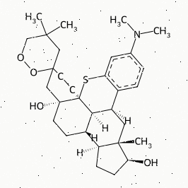 CN(C)c1ccc2c(c1)S[C@]13CCC4(CC(C)(C)COO4)C[C@]1(O)CC[C@@H]1[C@@H]3[C@@H]2C[C@]2(C)[C@@H](O)CC[C@@H]12